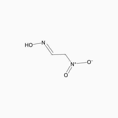 O=[N+]([O-])CC=NO